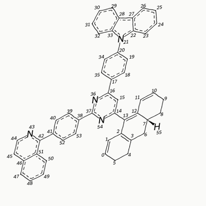 C1=CC2=C(CC1)C[C@H]1CCC=CC1=C2c1cc(-c2ccc(-n3c4ccccc4c4ccccc43)cc2)nc(-c2ccc(-c3nccc4ccccc34)cc2)n1